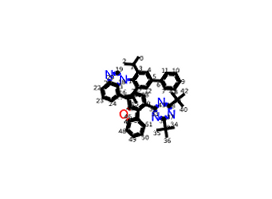 CC(C)c1cc(-c2ccccc2)cc(C(C)C)c1-n1cnc2cccc(-c3ccc(-c4nc(C(C)(C)C)nc(C(C)(C)C)n4)c4c3oc3ccccc34)c21